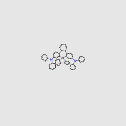 C1=CC2c3ccc(N(c4ccccc4)c4ccccc4)cc3C3(c4ccccc4-c4ccccc43)c3cc(N(c4ccccc4)c4ccccc4)ccc3C2C=C1